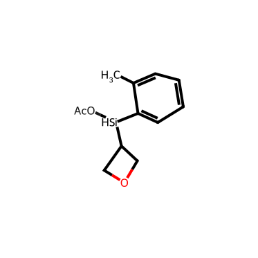 CC(=O)O[SiH](c1ccccc1C)C1COC1